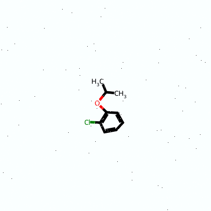 CC(C)Oc1[c]cccc1Cl